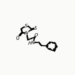 O=C(CN1C(=O)CSC1=S)NCCc1ccccc1